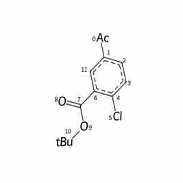 CC(=O)c1ccc(Cl)c(C(=O)OC(C)(C)C)c1